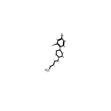 CCCCC[C@H]1CC[C@@H](c2ccc(Br)cc2F)CC1